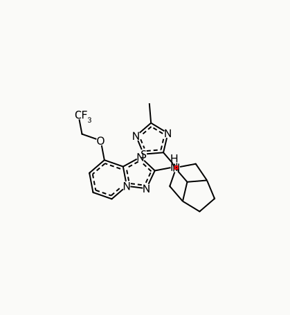 Cc1nsc(N2CC3CCC(C2)C3Nc2nc3c(OCC(F)(F)F)cccn3n2)n1